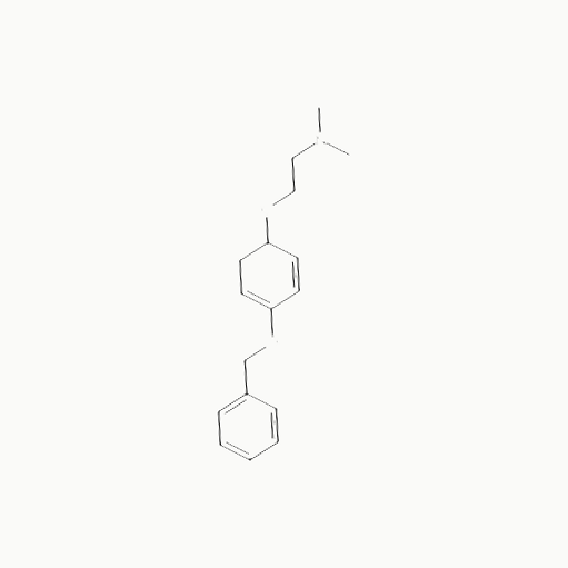 CN(C)CCOC1C=CC(OCc2ccccc2)=CC1